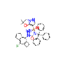 CC1(C)Cn2ncc(S(=N)(=O)N(C(=O)Nc3c4c(c(F)c5c3CC5)CCC4)C(c3ccccc3)(c3ccccc3)c3ccccc3)c2O1